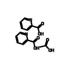 CC(=O)O.O=C(O)c1ccccn1.O=C(O)c1ccccn1